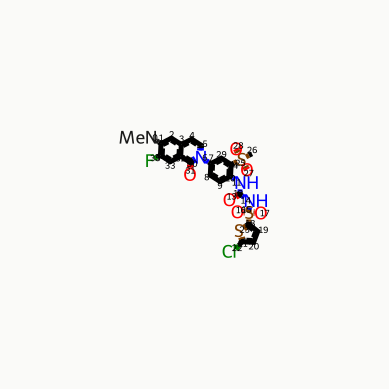 CNc1cc2ccn(-c3ccc(NC(=O)NS(=O)(=O)c4ccc(Cl)s4)c(S(C)(=O)=O)c3)c(=O)c2cc1F